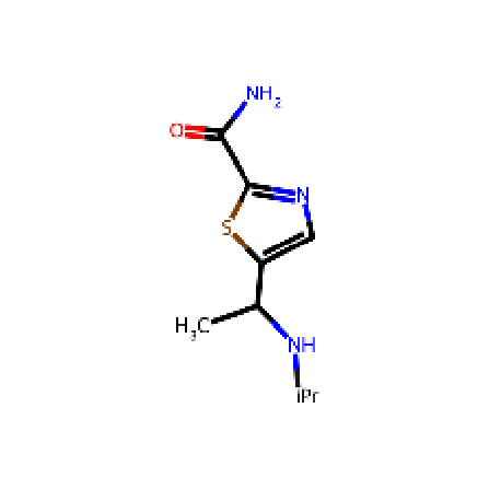 CC(C)NC(C)c1cnc(C(N)=O)s1